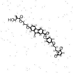 C=C(CO)C(=O)OCCCOc1ccc2c(c1)C(C)c1cc(C(=O)Oc3ccc(OCCCN4C(=O)C=CC4=O)cc3)ccc1-2